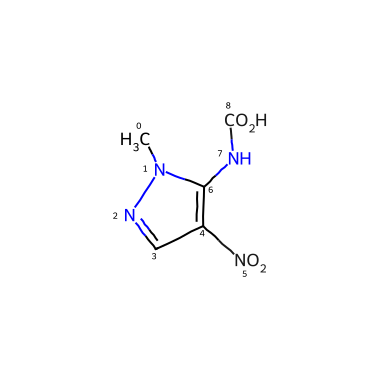 Cn1ncc([N+](=O)[O-])c1NC(=O)O